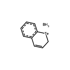 B.C1=Cc2ccccc2[Te]C1